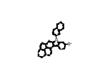 Brc1ccc2c3c4ccc5cccc6ccc(cc3n(-c3ccc7ccccc7c3)c2c1)c4c65